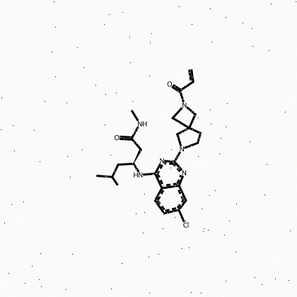 C=CC(=O)N1CC2(CCN(c3nc(N[C@H](CC(=O)NC)CC(C)C)c4ccc(Cl)cc4n3)C2)C1